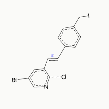 Clc1ncc(Br)cc1/C=C/c1ccc(CI)cc1